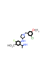 CC(=N)c1cc(C(=O)O)c(F)cc1NC1CCN(Cc2cc(Cl)cc(OC(F)(F)F)c2)C1